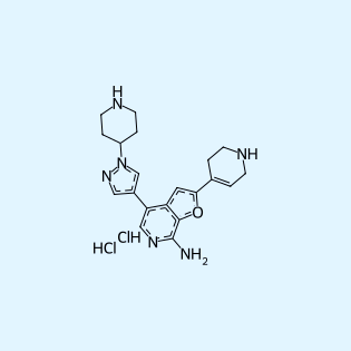 Cl.Cl.Nc1ncc(-c2cnn(C3CCNCC3)c2)c2cc(C3=CCNCC3)oc12